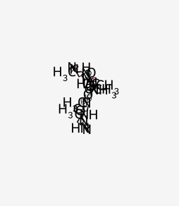 COc1cc(N2CC[C@H](OCC(=O)N[C@H](C(=O)N3CCC[C@H]3C(=O)NCc3ccc(-c4ccnn4C)cc3N3CCOCC3)C(C)(C)C)C[C@@H]2C)ccc1NC(=O)c1cccc(-c2ccn[nH]2)n1